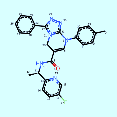 Cc1ccc(N2C=C(C(=O)N[C@H](C)c3ccc(F)cn3)Cn3c(-c4ccccc4)nnc32)cc1